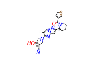 Cc1cn2nc([C@@H]3CCCCN3C(=O)c3ccsc3)cc2nc1N1C[C@@H](C#N)[C@@H](O)C1